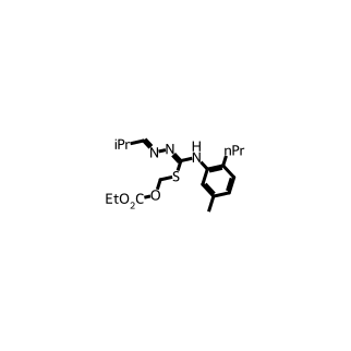 CCCc1ccc(C)cc1N/C(=N/N=C/C(C)C)SCOC(=O)OCC